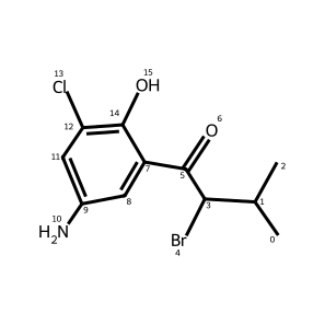 CC(C)C(Br)C(=O)c1cc(N)cc(Cl)c1O